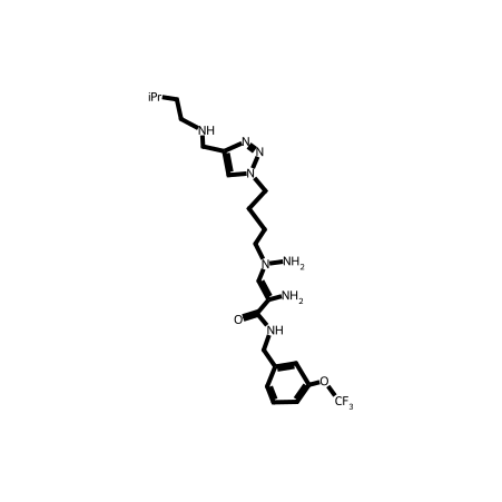 CC(C)CCNCc1cn(CCCCN(N)/C=C(\N)C(=O)NCc2cccc(OC(F)(F)F)c2)nn1